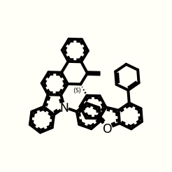 C=C1c2ccccc2-c2ccc3c4ccccc4n(-c4ccccc4)c3c2[C@H]1c1ccc2oc3cccc(C4=CCCC=C4)c3c2c1